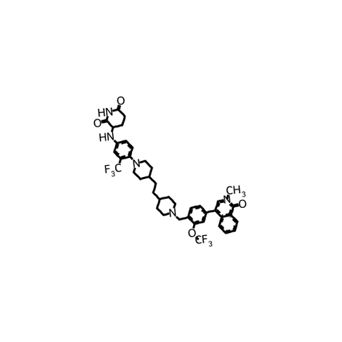 Cn1cc(-c2ccc(CN3CCC(CCC4CCN(c5ccc(NC6CCC(=O)NC6=O)cc5C(F)(F)F)CC4)CC3)c(OC(F)(F)F)c2)c2ccccc2c1=O